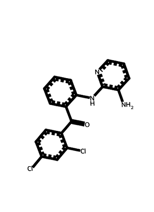 Nc1cccnc1Nc1ccccc1C(=O)c1ccc(Cl)cc1Cl